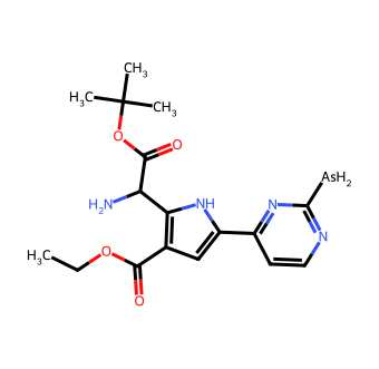 CCOC(=O)c1cc(-c2ccnc([AsH2])n2)[nH]c1C(N)C(=O)OC(C)(C)C